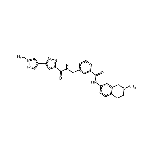 CN1CCc2ccc(NC(=O)c3cccc(CNC(=O)c4cc(-c5cnn(C)c5)on4)c3)cc2C1